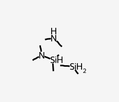 CN(C)[SiH](C)C.CNC.C[SiH2]C